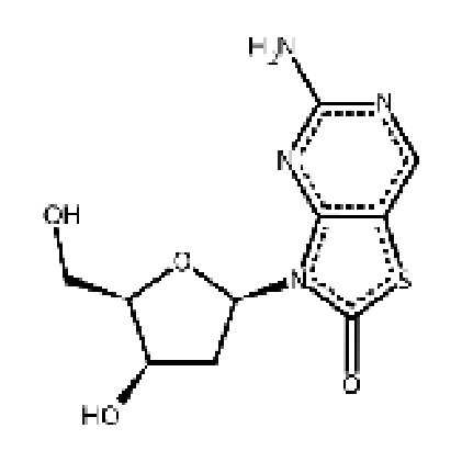 Nc1ncc2sc(=O)n([C@H]3C[C@@H](O)[C@@H](CO)O3)c2n1